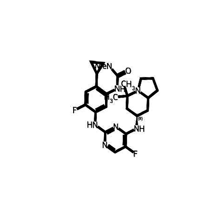 CNC(=O)Nc1cc(Nc2ncc(F)c(N[C@@H]3CC4CCCN4C(C)(C)C3)n2)c(F)cc1C1CC1